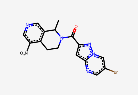 CC1c2cncc([N+](=O)[O-])c2CCN1C(=O)c1cc2ncc(Br)cn2n1